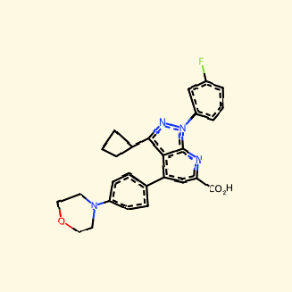 O=C(O)c1cc(-c2ccc(N3CCOCC3)cc2)c2c(C3CCC3)nn(-c3cccc(F)c3)c2n1